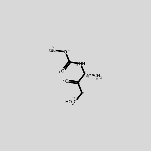 C[C@@H](NC(=O)OC(C)(C)C)C(=O)CC(=O)O